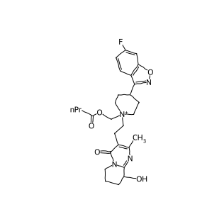 CCCC(=O)OC[N+]1(CCc2c(C)nc3n(c2=O)CCCC3O)CCC(c2noc3cc(F)ccc23)CC1